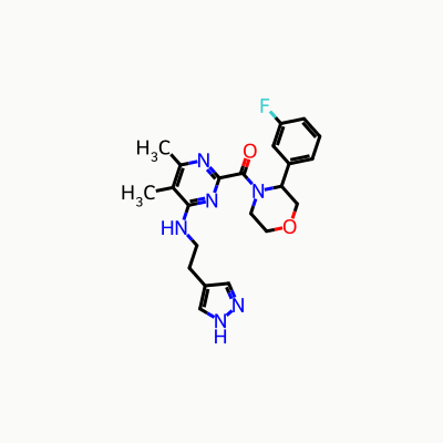 Cc1nc(C(=O)N2CCOCC2c2cccc(F)c2)nc(NCCc2cn[nH]c2)c1C